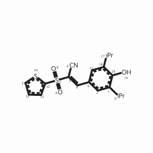 CC(C)c1cc(/C=C(\C#N)S(=O)(=O)c2cccs2)cc(C(C)C)c1O